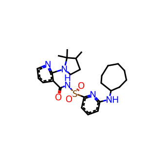 CC1CCN(c2ncccc2C(=O)NS(=O)(=O)c2cccc(NC3CCCCCCC3)n2)C1(C)C